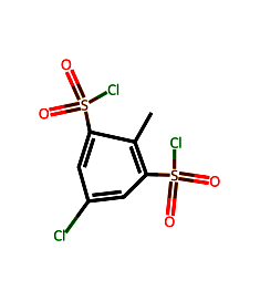 Cc1c(S(=O)(=O)Cl)cc(Cl)cc1S(=O)(=O)Cl